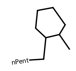 CCCCCCC1CCCCC1C